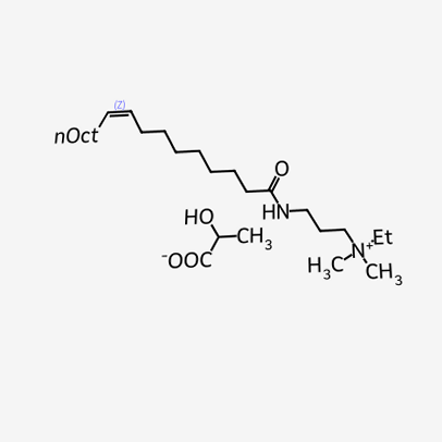 CC(O)C(=O)[O-].CCCCCCCC/C=C\CCCCCCCC(=O)NCCC[N+](C)(C)CC